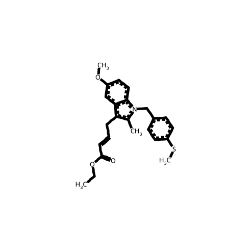 CCOC(=O)C=CCc1c(C)n(Cc2ccc(SC)cc2)c2ccc(OC)cc12